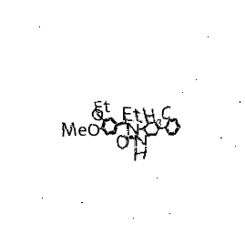 CCOc1cc([C@@H](CC)N2C(=O)NC3=CC(c4ccccc4C)=CCC32)ccc1OC